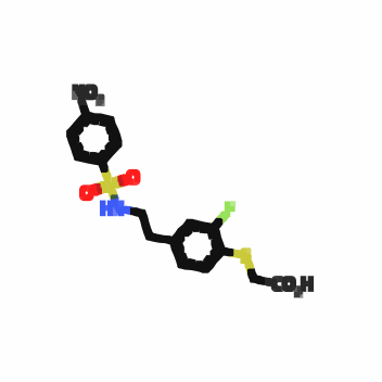 O=C(O)CSc1ccc(CCNS(=O)(=O)c2ccc([N+](=O)[O-])cc2)cc1F